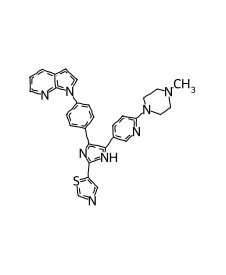 CN1CCN(c2ccc(-c3[nH]c(-c4cncs4)nc3-c3ccc(-n4ccc5cccnc54)cc3)cn2)CC1